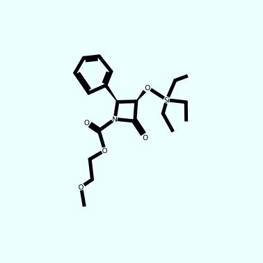 CC[Si](CC)(CC)O[C@H]1C(=O)N(C(=O)OCCOC)[C@H]1c1ccccc1